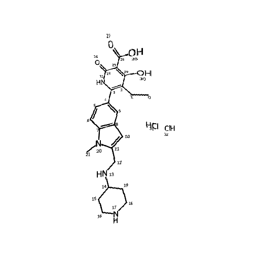 CCc1c(-c2ccc3c(c2)cc(CNC2CCNCC2)n3C)[nH]c(=O)c(C(=O)O)c1O.Cl.Cl